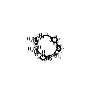 CC(C)[C@@H]1OC(=O)CCc2ccc(cc2)-c2cccc(c2)[C@@H](C)NC(=O)[C@@H]2CCCN(N2)C(=O)[C@H](C)NC1=O